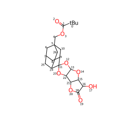 CC(C)(C)C(=O)OCC12CC3CC(C1)C1(OC4OC5C(O)C(=O)OC5C4O1)C(C3)C2